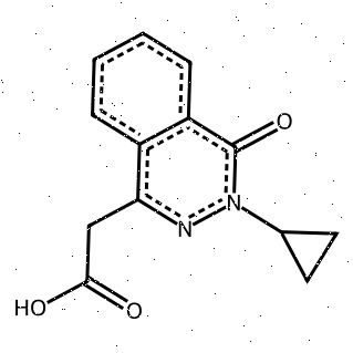 O=C(O)Cc1nn(C2CC2)c(=O)c2ccccc12